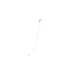 CCCCCCCCCCCCCCCCCCCC/C=[C]\O